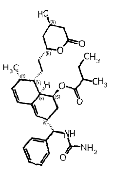 CCC(C)C(=O)O[C@H]1C[C@H](C(NC(N)=O)c2ccccc2)C=C2C=C[C@H](C)[C@H](CC[C@@H]3C[C@@H](O)CC(=O)O3)[C@H]21